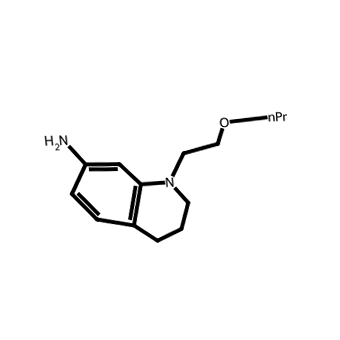 CCCOCCN1CCCc2ccc(N)cc21